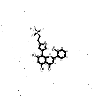 NS(=O)(=O)CCc1cc(-c2c(O)cc(O)c3c(=O)cc(-c4ccccc4Cl)oc23)c[nH]1